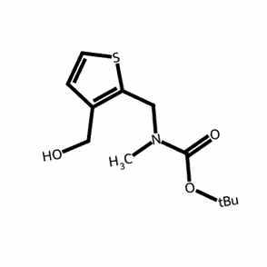 CN(Cc1sccc1CO)C(=O)OC(C)(C)C